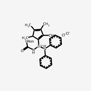 CCCCCCCCCC(=O)[NH][Zr+2]([C]1=C(C)C(C)=C(C)C1C)[SiH](c1ccccc1)c1ccccc1.[Cl-].[Cl-]